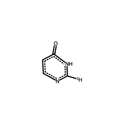 [2H]c1nccc(=O)[nH]1